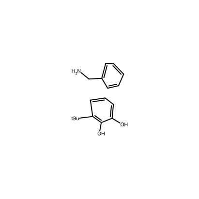 CC(C)(C)c1cccc(O)c1O.NCc1ccccc1